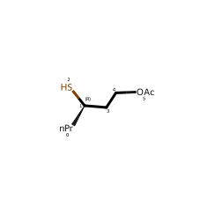 CCC[C@@H](S)CCOC(C)=O